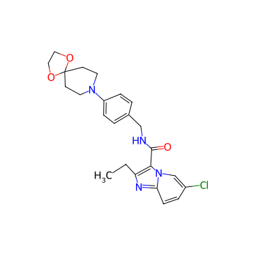 CCc1nc2ccc(Cl)cn2c1C(=O)NCc1ccc(N2CCC3(CC2)OCCO3)cc1